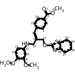 COC(=O)c1ccc(/C=C(/CNc2ccc(OC)c(OC)c2)COc2nc3ccccc3s2)cc1